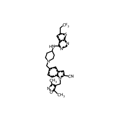 Cc1noc(C)c1Cn1c(C#N)cc2cc(CN3CCC(Nc4ncnc5sc(CC(F)(F)F)cc45)CC3)ccc21